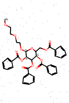 CCCOCCOCCO[C@H]1OC(COC(=O)c2ccccc2)[C@@H](OC(=O)c2ccccc2)C(OC(=O)c2ccccc2)[C@H]1OC(=O)c1ccccc1